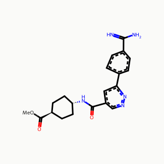 COC(=O)[C@H]1CC[C@H](NC(=O)c2cnnc(-c3ccc(C(=N)N)cc3)c2)CC1